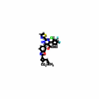 C=C=CC1[C@H](C(=O)O)C[C@H]1c1nc2c(o1)CC(C1=C(C(=O)OC)C(c3ccc(F)c(F)c3Cl)N=C(c3nccs3)N1)CC2